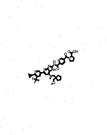 COCC1(CN(C)c2cc(-c3cnc(C4CC4)c(C(F)(F)F)c3)nc3nc(NC(=O)c4ccc(C(=O)N5CCCC5C(=O)O)cn4)[nH]c23)CCCC1